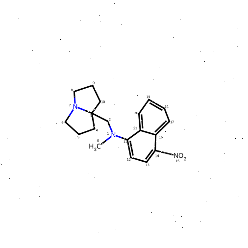 CN(CC12CCCN1CCC2)c1ccc([N+](=O)[O-])c2ccccc12